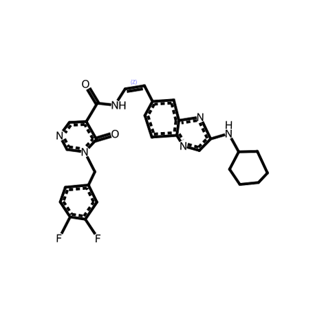 O=C(N/C=C\c1ccc2ncc(NC3CCCCC3)nc2c1)c1cncn(Cc2ccc(F)c(F)c2)c1=O